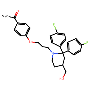 COC(=O)c1ccc(OCCCN2CCC(CO)CC2(c2ccc(F)cc2)c2ccc(F)cc2)cc1